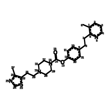 Cc1cccnc1CCc1ccc(OC(=O)N2CCN(CCc3scnc3C)CC2)cc1